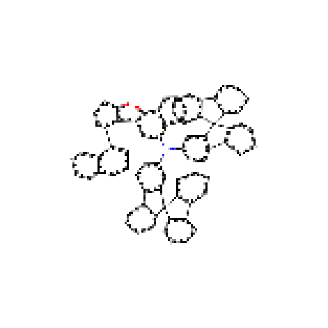 c1ccc2c(c1)-c1ccccc1C21c2ccccc2-c2ccc(N(c3ccc4c(c3)C3(c5ccccc5-c5ccccc53)c3ccccc3-4)c3cc4c(oc5cccc(-c6cccc7ccccc67)c54)c4ccccc34)cc21